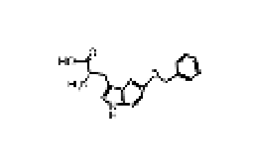 N[C@@H](Cc1c[nH]c2ccc(OCc3ccccc3)cc12)C(=O)O